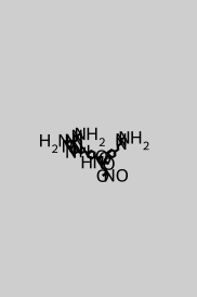 CN(Cc1cnc2nc(N)nc(N=NN)c2n1)c1ccc(C(=O)NC(CCC(=O)N=O)C(=O)Oc2ccc(CCN=NN)cc2)cc1